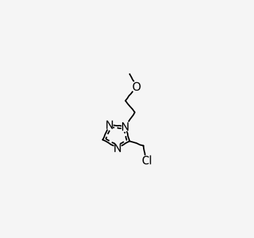 COCCn1ncnc1CCl